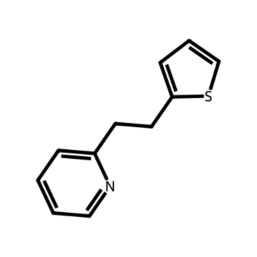 c1ccc(CCc2cccs2)nc1